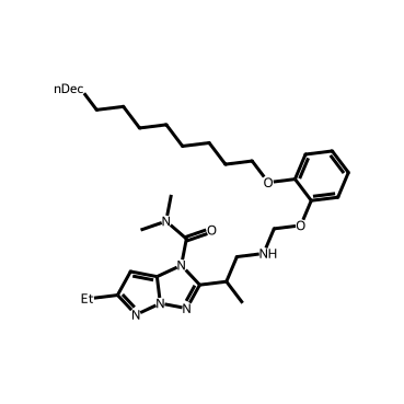 CCCCCCCCCCCCCCCCCCOc1ccccc1OCNCC(C)c1nn2nc(CC)cc2n1C(=O)N(C)C